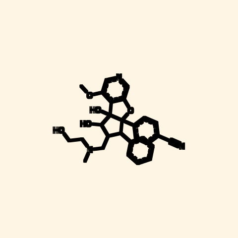 COc1cncc2c1C1(O)C(O)C(CN(C)CCO)C(c3ccccc3)C1(c1ccc(C#N)cc1)O2